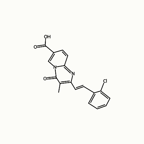 Cc1c(/C=C/c2ccccc2Cl)nc2ccc(C(=O)O)cn2c1=O